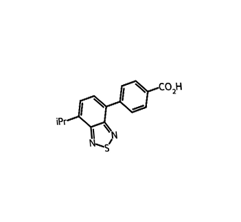 CC(C)c1ccc(-c2ccc(C(=O)O)cc2)c2nsnc12